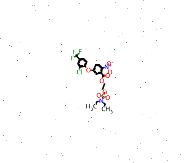 CCN(CC)S(=O)(=O)OCCOC(=O)c1cc(Oc2ccc(C(F)(F)F)cc2Cl)ccc1[N+](=O)[O-]